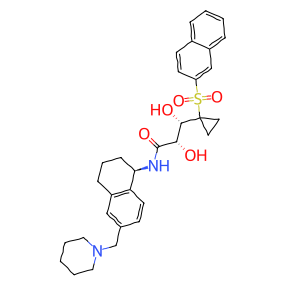 O=C(N[C@@H]1CCCc2cc(CN3CCCCC3)ccc21)[C@@H](O)[C@H](O)C1(S(=O)(=O)c2ccc3ccccc3c2)CC1